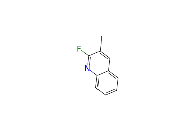 Fc1nc2ccccc2cc1I